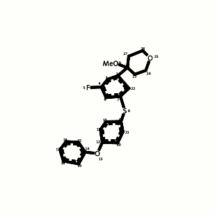 COC1(c2cc(F)cc(Sc3ccc(Oc4ccccc4)cc3)c2)CCOCC1